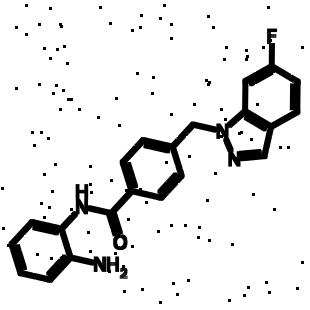 Nc1ccccc1NC(=O)c1ccc(Cn2ncc3ccc(F)cc32)cc1